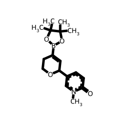 Cn1cc(C2C=C(B3OC(C)(C)C(C)(C)O3)CCO2)ccc1=O